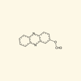 O=COc1ccc2nc3ccccc3nc2c1